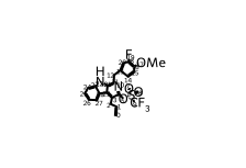 C=CCc1c(OS(=O)(=O)C(F)(F)F)nc(Cc2ccc(OC)c(F)c2)c2[nH]c3ccccc3c12